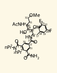 CCCN(CCC)C(=O)c1cc(C(N)=O)cc(C(=O)N[C@@H](Cc2cc(F)cc(F)c2)[C@@H](O)[C@H](O)[C@@H](CCOC)NC(C)=O)c1